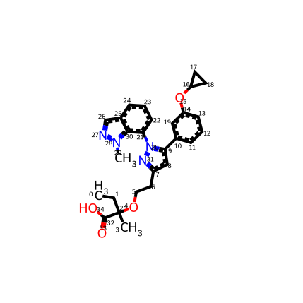 CCC(C)(OCCc1cc(-c2cccc(OC3CC3)c2)n(-c2cccc3cnn(C)c23)n1)C(=O)O